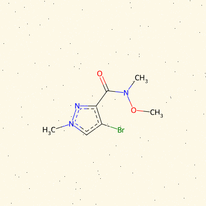 CON(C)C(=O)c1nn(C)cc1Br